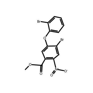 COC(=O)c1cc(Oc2ccccc2Br)c(Br)cc1[N+](=O)[O-]